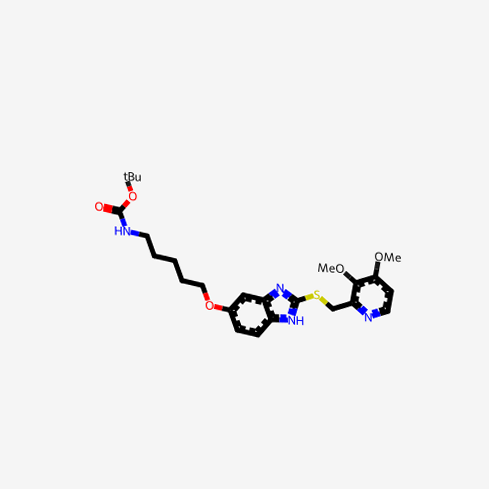 COc1ccnc(CSc2nc3cc(OCCCCCNC(=O)OC(C)(C)C)ccc3[nH]2)c1OC